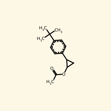 CC(=O)OC1CC1c1ccc(C(C)(C)C)cc1